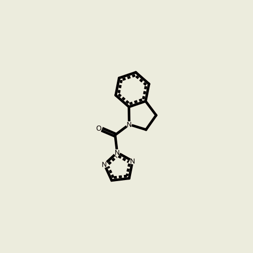 O=C(N1CCc2ccccc21)n1nccn1